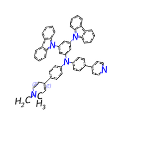 C=N/C=C\C(=C/C)c1ccc(N(c2ccc(-c3ccncc3)cc2)c2cc(-n3c4ccccc4c4ccccc43)cc(-n3c4ccccc4c4ccccc43)c2)cc1